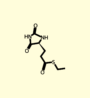 CCSC(=O)CC[C@@H]1NC(=O)NC1=O